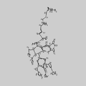 COc1cc(C2c3cc4c(cc3C(NC(=O)CCCNCCCN)C3COC(=O)C23)OCO4)cc(OC)c1O